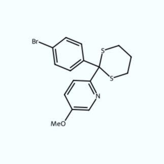 COc1ccc(C2(c3ccc(Br)cc3)SCCCS2)nc1